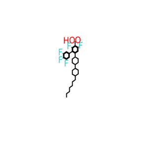 CCCCCCCC1CCC(C2CCC(c3cc(F)c(C(=O)O)c(F)c3-c3cc(F)c(F)c(F)c3)CC2)CC1